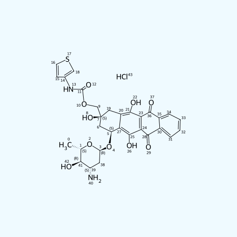 C[C@@H]1O[C@@H](O[C@H]2C[C@](O)(COC(=O)Nc3ccsc3)Cc3c(O)c4c(c(O)c32)C(=O)c2ccccc2C4=O)C[C@H](N)[C@H]1O.Cl